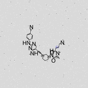 CNc1nc(Nc2ccc(C#N)cc2)ncc1C#C[C@@H]1CCC[C@H](NC(=O)[C@H](C)N(C)C(=O)/C=C/CN(C)C)C1